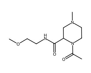 COCCNC(=O)C1CN(C)CCN1C(C)=O